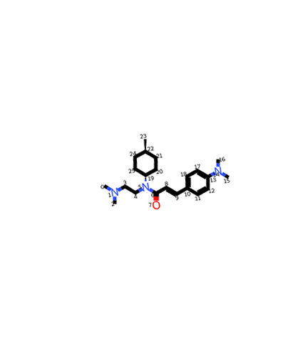 CN(C)CCN(C(=O)C=Cc1ccc(N(C)C)cc1)[C@H]1CC[C@H](C)CC1